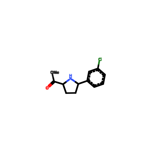 COC(=O)C1CCC(c2cccc(Cl)c2)N1